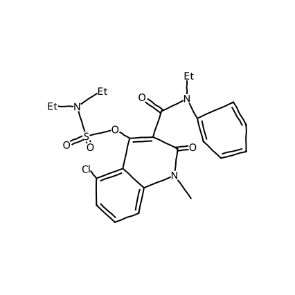 CCN(C(=O)c1c(OS(=O)(=O)N(CC)CC)c2c(Cl)cccc2n(C)c1=O)c1ccccc1